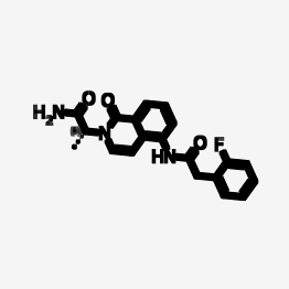 C[C@H](C(N)=O)n1ccc2c(NC(=O)Cc3ccccc3F)cccc2c1=O